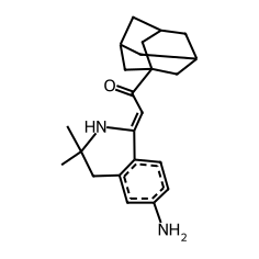 CC1(C)Cc2cc(N)ccc2C(=CC(=O)C23CC4CC(CC(C4)C2)C3)N1